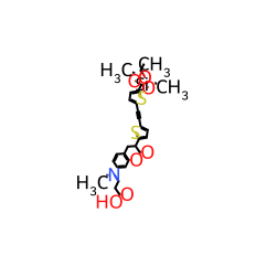 CCO[Si](OCC)(OCC)c1ccc(C#Cc2ccc(C3Cc4ccc(N(CC)CCC(=O)O)cc4OC3=O)s2)s1